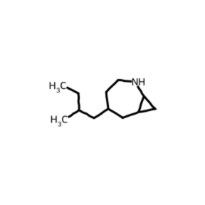 CCC(C)CC1CCNC2CC2C1